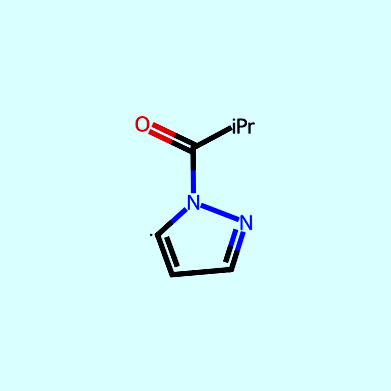 CC(C)C(=O)n1[c]ccn1